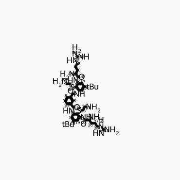 CC(C)(C)c1cc(NC(=O)c2cccc(C(=O)Nc3cc(C(C)(C)C)cc(NC(=O)[C@H](N)CCCNC(=N)N)c3SCCN)c2)c(SCCN)c(NC(=O)[C@H](N)CCCNC(=N)N)c1